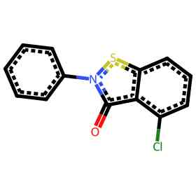 O=c1c2c(Cl)cccc2sn1-c1ccccc1